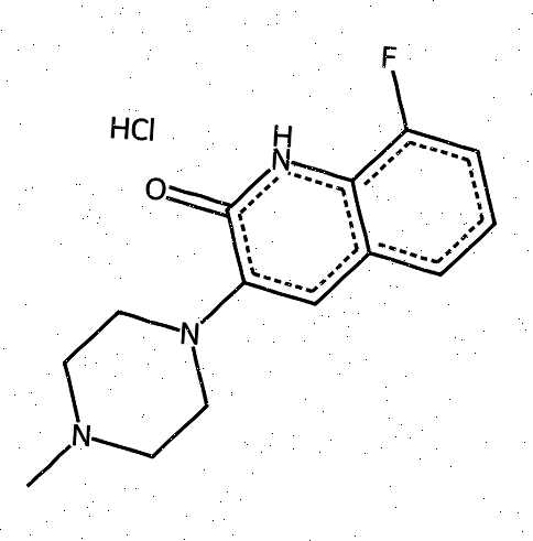 CN1CCN(c2cc3cccc(F)c3[nH]c2=O)CC1.Cl